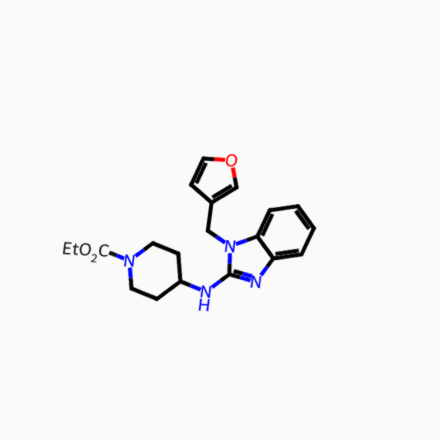 CCOC(=O)N1CCC(Nc2nc3ccccc3n2Cc2ccoc2)CC1